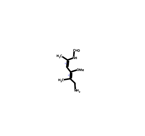 COC(/C=C(/C)NC=O)=C(/C)CN